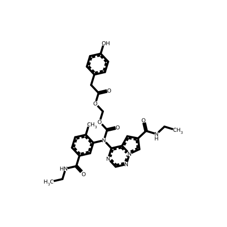 CCNC(=O)c1ccc(C)c(N(C(=O)OCOC(=O)Cc2ccc(O)cc2)c2ncnn3cc(C(=O)NCC)cc23)c1